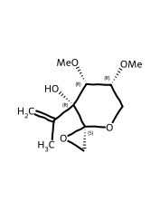 C=C(C)[C@@]1(O)[C@H](OC)[C@H](OC)CO[C@]12CO2